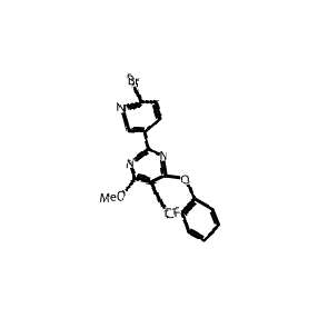 COc1nc(-c2ccc(Br)nc2)nc(Oc2ccccc2)c1C(F)(F)F